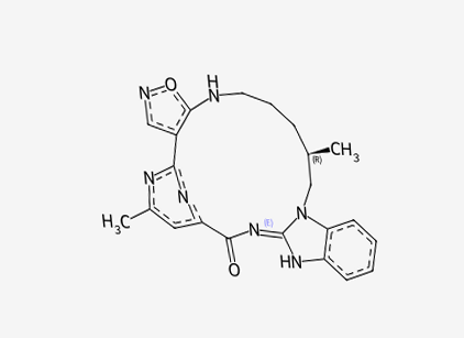 Cc1cc2nc(n1)-c1cnoc1NCCC[C@@H](C)CN1/C(=N/C2=O)Nc2ccccc21